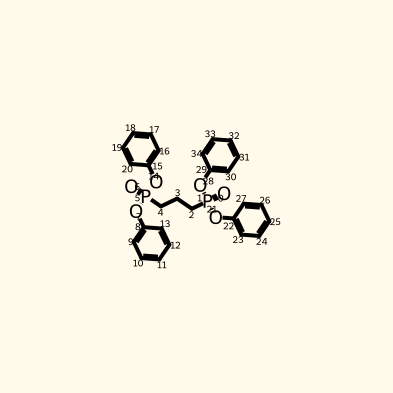 O=P(CCCP(=O)(Oc1ccccc1)Oc1ccccc1)(Oc1ccccc1)Oc1ccccc1